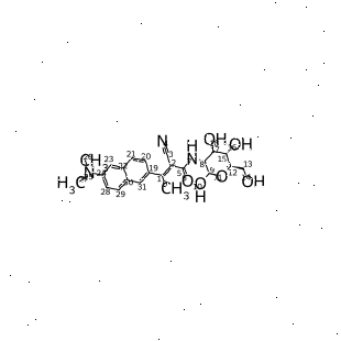 C/C(=C(/C#N)C(=O)N[C@H]1C(O)O[C@H](CO)[C@@H](O)[C@@H]1O)c1ccc2cc(N(C)C)ccc2c1